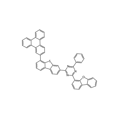 c1ccc(-c2nc(-c3ccc4c(c3)sc3c(-c5ccc6c7ccccc7c7ccccc7c6c5)cccc34)nc(-c3cccc4c3oc3ccccc34)n2)cc1